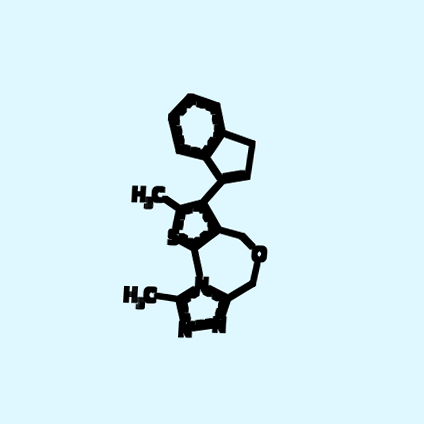 Cc1sc2c(c1C1=CCc3ccccc31)COCc1nnc(C)n1-2